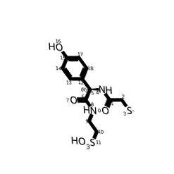 O=C(C[S])N[C@@H](C(=O)NCCS(=O)(=O)O)c1ccc(O)cc1